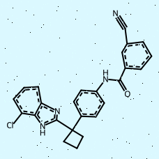 N#Cc1cccc(C(=O)Nc2ccc(C3(c4nc5cccc(Cl)c5[nH]4)CCC3)cc2)c1